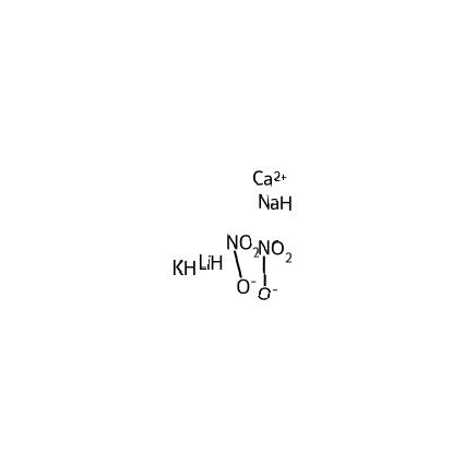 O=[N+]([O-])[O-].O=[N+]([O-])[O-].[Ca+2].[KH].[LiH].[NaH]